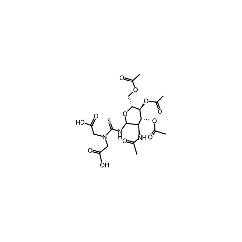 CC(=O)N[C@H]1C(NC(=S)N(CC(=O)O)CC(=O)O)O[C@H](COC(C)=O)[C@@H](OC(C)=O)[C@@H]1OC(C)=O